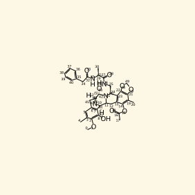 COc1c(C)cc2c(c1O)[C@@H]1C3Cc4c(OC(C)=O)c(C)c5c(c4[C@H](CNC(=O)[C@H](C)NC(=O)Cc4ccccc4)N3[C@@H](O)[C@H](C2)N1C)OCO5